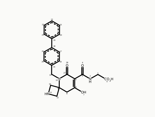 O=C(O)CNC(=O)C1=C(O)CC2(CNC2)N(Cc2ccc(-c3ccccc3)cc2)C1=O